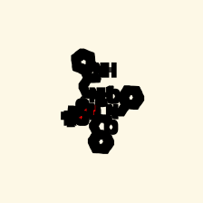 COc1ccccc1CN(C)C(=O)C(Cc1ccccc1)N(C(=O)OC(C)(C)C)C(C)N[C@H](CC(=O)O)Cc1c[nH]c2ccccc12